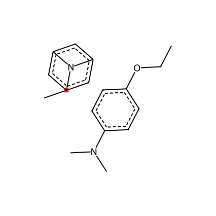 CCN1c2cccc1c2.CCOc1ccc(N(C)C)cc1